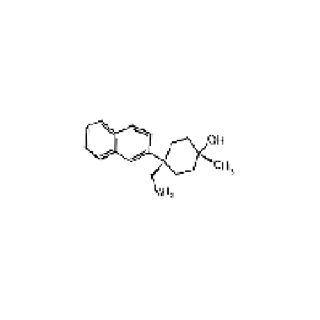 C[C@]1(O)CC[C@@](CN)(c2ccc3ccccc3c2)CC1